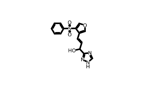 O=S(=O)(c1ccccc1)c1cocc1C=CC(O)c1nc[nH]n1